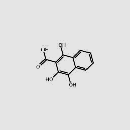 O=C(O)c1c(O)c(O)c2ccccc2c1O